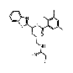 N=C(CCl)NCCCC(NC(=O)c1cc(I)cc(I)c1I)c1nc2ccccc2[nH]1